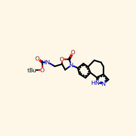 CC(C)(C)OC(=O)NCC1CN(c2ccc3c(c2)CCCc2cn[nH]c2-3)C(=O)O1